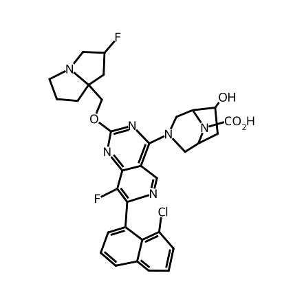 O=C(O)N1C2CC(O)C1CN(c1nc(OCC34CCCN3CC(F)C4)nc3c(F)c(-c4cccc5cccc(Cl)c45)ncc13)C2